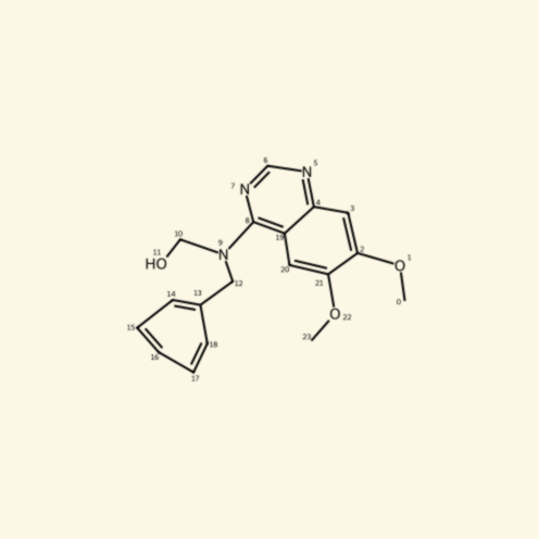 COc1cc2ncnc(N(CO)Cc3ccccc3)c2cc1OC